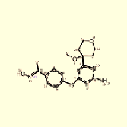 COC1(c2cc(Sc3ccc(/C(C)=N/O)cc3)nc(N)n2)CCOCC1